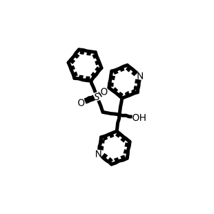 O=S(=O)(CC(O)(c1cccnc1)c1cccnc1)c1ccccc1